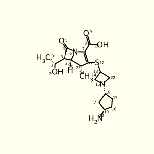 C[C@@H](O)[C@H]1C(=O)N2C(C(=O)O)=C(SC3CN([C@@H]4CC[C@@H](N)C4)C3)[C@H](C)[C@H]12